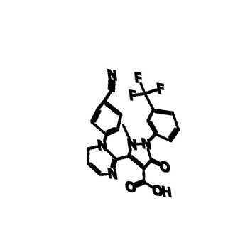 Cn1c(C2=NC=CCN2c2ccc(C#N)cc2)c(C(=O)O)c(=O)n1-c1cccc(C(F)(F)F)c1